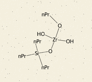 CCC[O][Zr]([OH])([OH])[O][Si](CCC)(CCC)CCC